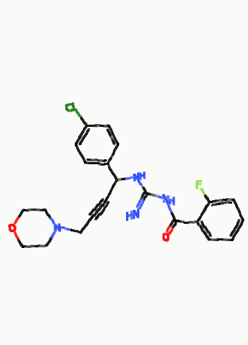 N=C(NC(=O)c1ccccc1F)NC(C#CCN1CCOCC1)c1ccc(Cl)cc1